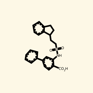 O=C(O)c1ccc(-c2ccccc2)cc1NS(=O)(=O)CCC1CCc2ccccc21